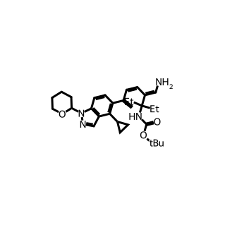 C=C(/C=C\C(=C/N)C(CC)(CC)NC(=O)OC(C)(C)C)c1ccc2c(cnn2C2CCCCO2)c1C1CC1